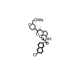 COCC1CN(C(=O)[C@H](C)N2CC[C@H](NS(=O)(=O)c3ccc4cc(Cl)ccc4c3)C2=O)CCO1